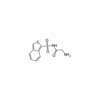 NCC(=O)NS(=O)(=O)c1scc2ccccc12